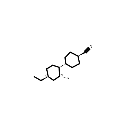 CC[C@H]1CCC([C@H]2CC[C@H](C#N)CC2)[C@H](C)C1